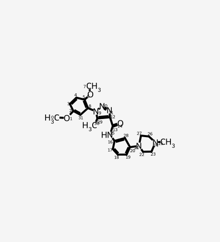 COc1ccc(OC)c(-n2nnc(C(=O)Nc3cccc(N4CCN(C)CC4)c3)c2C)c1